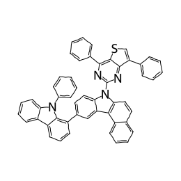 c1ccc(-c2csc3c(-c4ccccc4)nc(-n4c5ccc(-c6cccc7c8ccccc8n(-c8ccccc8)c67)cc5c5c6ccccc6ccc54)nc23)cc1